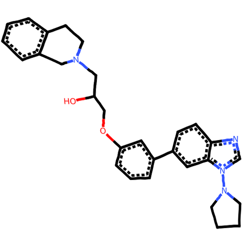 OC(COc1cccc(-c2ccc3ncn(N4CCCC4)c3c2)c1)CN1CCc2ccccc2C1